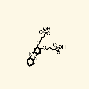 O=S(=O)(O)CCCOc1cc2nc3ccccc3nc2cc1OCCCS(=O)(=O)O